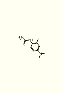 Cc1cc(N(C)C)ccc1NC(N)=S